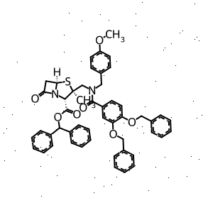 COc1ccc(CN(C[C@]2(C)S[C@@H]3CC(=O)N3[C@H]2C(=O)OC(c2ccccc2)c2ccccc2)C(=O)c2ccc(OCc3ccccc3)c(OCc3ccccc3)c2)cc1